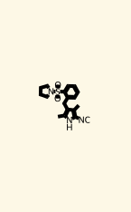 [C-]#[N+]c1[nH]c(C)c(Cc2ccccc2S(=O)(=O)N2CCCC2)c1C